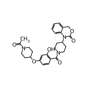 CC(=O)N1CCC(Oc2ccc(C(=O)N3CCC(N4C(=O)OCc5ccccc54)CC3)c(O)c2)CC1